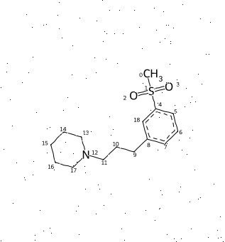 CS(=O)(=O)c1cccc(CCCN2CCCCC2)c1